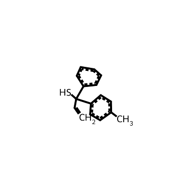 C=CC(S)(c1ccccc1)c1ccc(C)cc1